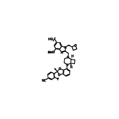 COc1cc(C(=O)O)cc2c1nc(CN1CCN(c3cccc4c3O[C@@](C)(c3ccc(C#N)cc3F)O4)[C@H]3CC[C@@H]31)n2C[C@@H]1CCO1